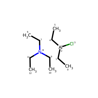 C[CH2][Al]([Cl])[CH2]C.[CH2]CN(CC)CC